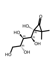 CC1(C)C(=O)[C@]1(O)[C@@H](O)[C@H](O)[C@H](O)CO